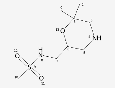 CC1(C)CNCC(CNS(C)(=O)=O)O1